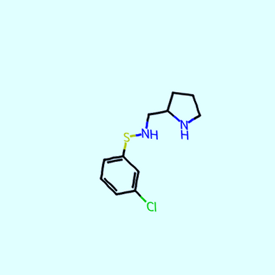 Clc1cccc(SNCC2CCCN2)c1